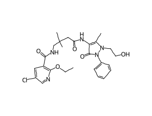 CCOc1ncc(Cl)cc1C(=O)NCC(C)(C)CC(=O)Nc1c(C)n(CCO)n(-c2ccccc2)c1=O